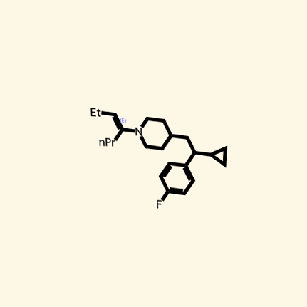 CC/C=C(\CCC)N1CCC(CC(c2ccc(F)cc2)C2CC2)CC1